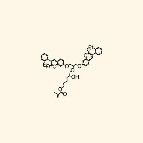 C=C(C)C(=O)OCCCCC(O)COC(COc1ccc2cc(-c3ccccc3CC)c(=O)oc2c1)COc1ccc2cc(-c3ccccc3CC)c(=O)oc2c1